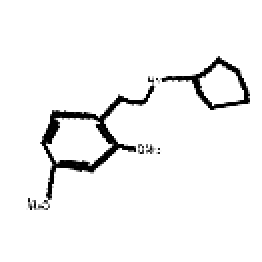 COc1ccc(CCNC2CCCC2)c(OC)c1